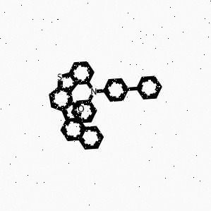 c1ccc(-c2ccc(N(c3ccccc3)c3cccc4sc5ccc6c7ccc8ccccc8c7oc6c5c34)cc2)cc1